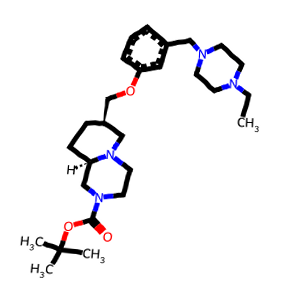 CCN1CCN(Cc2cccc(OC[C@@H]3CC[C@@H]4CN(C(=O)OC(C)(C)C)CCN4C3)c2)CC1